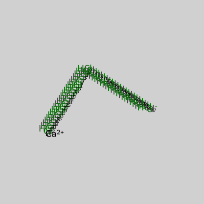 Cl.Cl.Cl.Cl.Cl.Cl.Cl.Cl.Cl.Cl.Cl.Cl.Cl.Cl.Cl.Cl.Cl.Cl.Cl.Cl.Cl.Cl.Cl.Cl.Cl.Cl.Cl.Cl.Cl.Cl.Cl.Cl.Cl.Cl.Cl.Cl.Cl.Cl.Cl.Cl.Cl.Cl.Cl.Cl.Cl.[Ca+2].[Cl-].[Cl-]